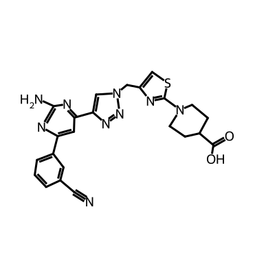 N#Cc1cccc(-c2cc(-c3cn(Cc4csc(N5CCC(C(=O)O)CC5)n4)nn3)nc(N)n2)c1